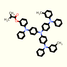 C=C(C)C(=O)Oc1cccc(N(c2ccccc2)c2ccc(N(c3ccc(N(c4ccccc4)c4cccc(C)c4)cc3)c3ccc(N(c4ccccc4)c4cccc(C)c4)cc3)cc2)c1